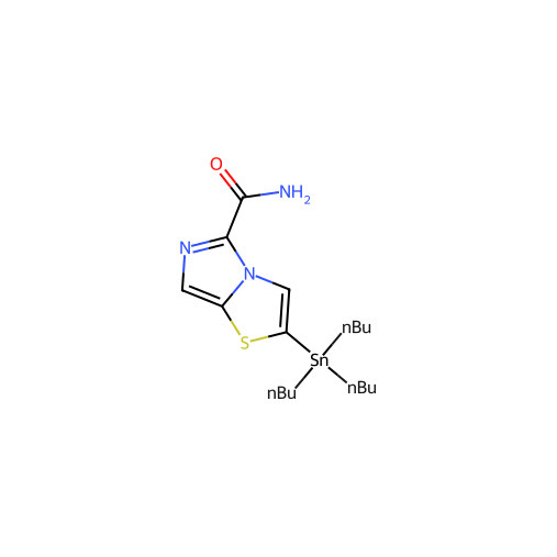 CCC[CH2][Sn]([CH2]CCC)([CH2]CCC)[c]1cn2c(C(N)=O)ncc2s1